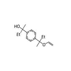 C=COC(C)(CC)c1ccc(C(C)(O)CC)cc1